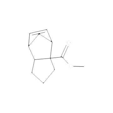 COC(=O)C12CCCC1C1C=CC2C1